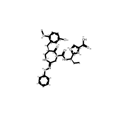 CC[C@@H](NC(=O)N1C/C(=N/Oc2ccccc2)NC[C@@H](Cc2cc(Cl)ccc2OC)C1=O)c1nc(C(=O)O)co1